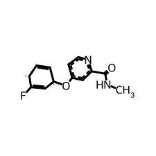 CNC(=O)c1cc(O[C]2C=C[CH]C(F)=C2)ccn1